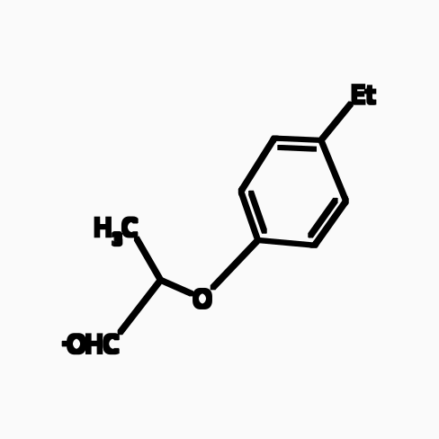 CCc1ccc(OC(C)[C]=O)cc1